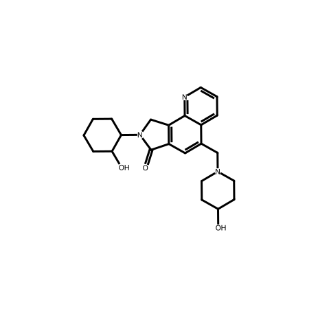 O=C1c2cc(CN3CCC(O)CC3)c3cccnc3c2CN1C1CCCCC1O